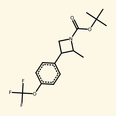 CC1C(c2ccc(OC(F)(F)F)cc2)CN1C(=O)OC(C)(C)C